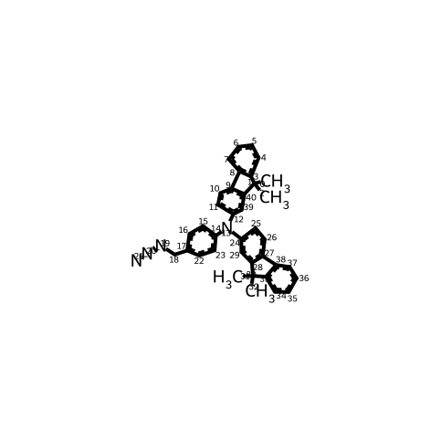 CC1(C)c2ccccc2-c2ccc(N(c3ccc(CN=[N+]=[N-])cc3)c3ccc4c(c3)C(C)(C)c3ccccc3-4)cc21